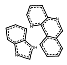 c1ccc2[nH]cnc2c1.c1ccc2c(c1)cnc1cccnc12